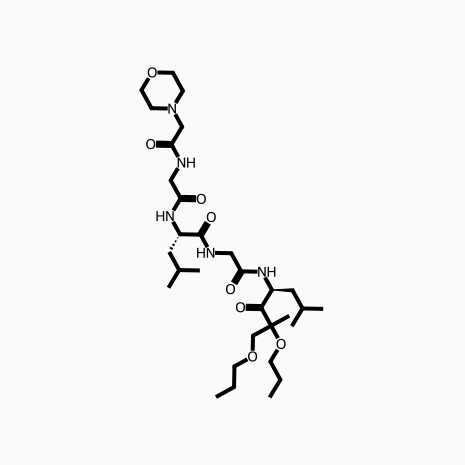 CCCOCC(C)(OCCC)C(=O)[C@H](CC(C)C)NC(=O)CNC(=O)[C@H](CC(C)C)NC(=O)CNC(=O)CN1CCOCC1